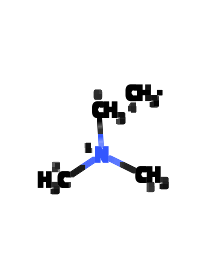 CN(C)C.[CH3]